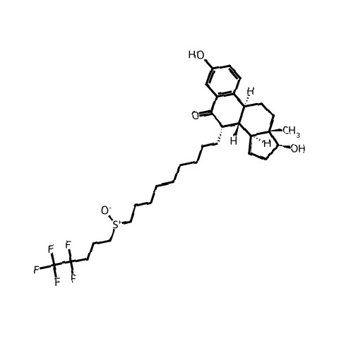 C[C@]12CC[C@@H]3c4ccc(O)cc4C(=O)[C@@H](CCCCCCCCC[S+]([O-])CCCC(F)(F)C(F)(F)F)[C@H]3[C@@H]1CC[C@@H]2O